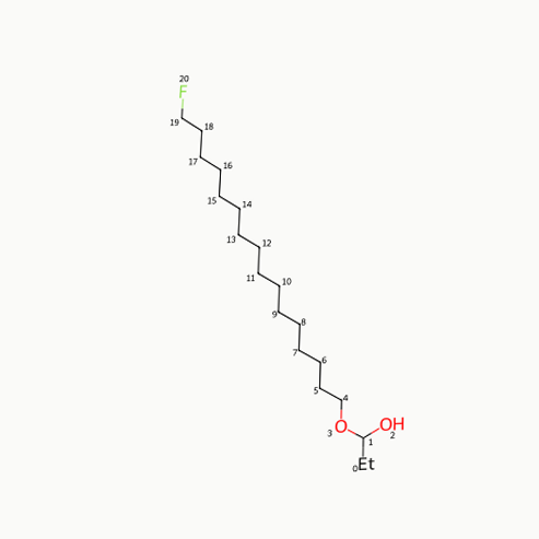 CCC(O)OCCCCCCCCCCCCCCCCF